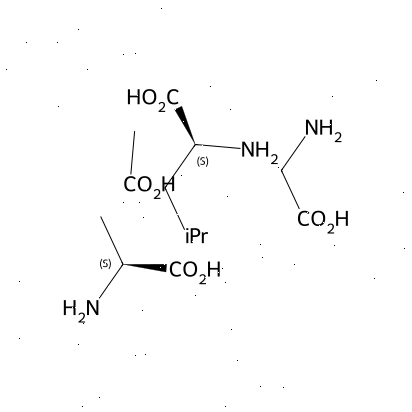 CC(=O)O.CC(C)C[C@H](N)C(=O)O.C[C@H](N)C(=O)O.NCC(=O)O